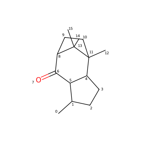 CC1CCC2C1C(=O)C1CCC2(C)C1(C)C